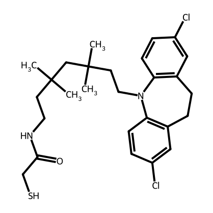 CC(C)(CCNC(=O)CS)CC(C)(C)CCN1c2ccc(Cl)cc2CCc2cc(Cl)ccc21